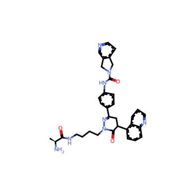 C[C@H](N)C(=O)NCCCCN1N=C(c2ccc(NC(=O)N3Cc4ccncc4C3)cc2)CC(c2cccc3ncccc23)C1=O